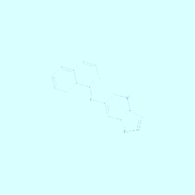 O=c1[nH]c(Nc2nccc3ccccc23)nc2[nH]cnc12